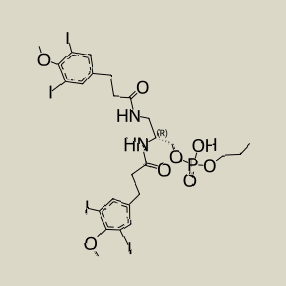 CCCOP(=O)(O)OC[C@@H](CNC(=O)CCc1cc(I)c(OC)c(I)c1)NC(=O)CCc1cc(I)c(OC)c(I)c1